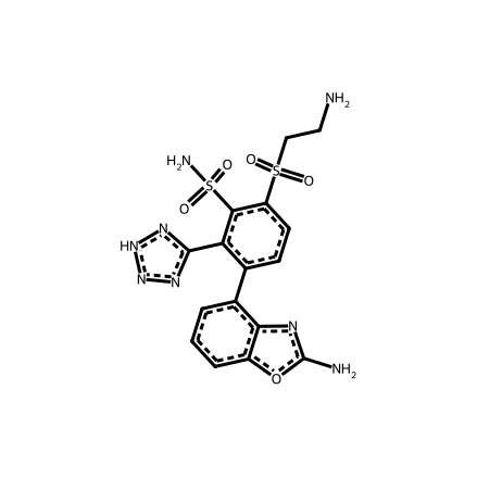 NCCS(=O)(=O)c1ccc(-c2cccc3oc(N)nc23)c(-c2nn[nH]n2)c1S(N)(=O)=O